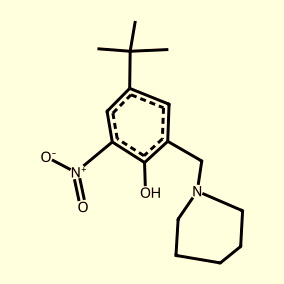 CC(C)(C)c1cc(CN2CCCCC2)c(O)c([N+](=O)[O-])c1